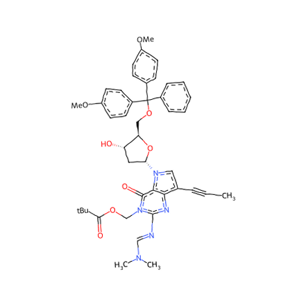 CC#Cc1cn([C@@H]2C[C@H](O)[C@@H](COC(c3ccccc3)(c3ccc(OC)cc3)c3ccc(OC)cc3)O2)c2c(=O)n(COC(=O)C(C)(C)C)c(N=CN(C)C)nc12